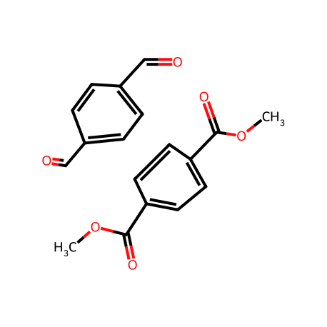 COC(=O)c1ccc(C(=O)OC)cc1.O=Cc1ccc(C=O)cc1